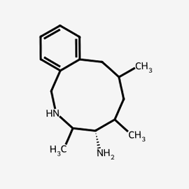 CC1Cc2ccccc2CNC(C)[C@@H](N)C(C)C1